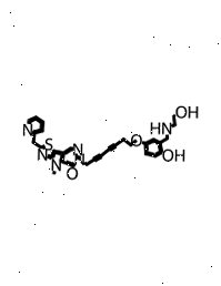 Cn1c2nc(Cc3ccccn3)sc2c2cnn(CC#CC#CCCOc3ccc(O)c(CNCCO)c3)c(=O)c21